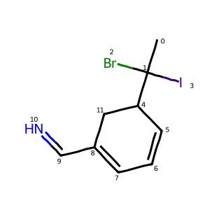 CC(Br)(I)C1C=CC=C(C=N)C1